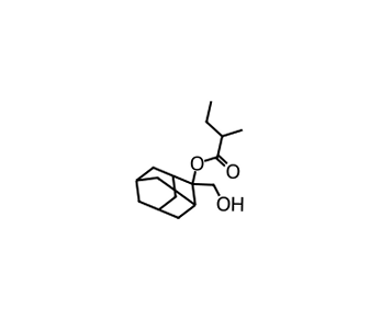 CCC(C)C(=O)OC1(CO)C2CC3CC(C2)CC1C3